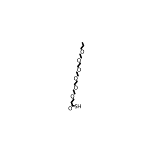 CCCOCCOCCOCCOCCOCCOCCC(=O)S